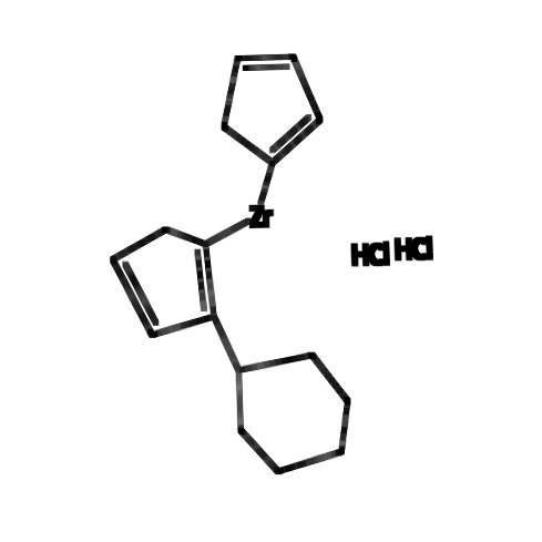 C1=CC[C]([Zr][C]2=C(C3CCCCC3)C=CC2)=C1.Cl.Cl